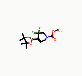 CC(C)(C)OC(=O)N1CC=C(B2OC(C)(C)C(C)(C)O2)C(F)(F)C1